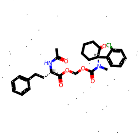 CC(=O)N[C@@H](CCc1ccccc1)C(=O)OCOC(=O)N(C)[C@]1(c2ccccc2Cl)CCCCC1=O